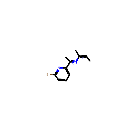 C/C=C(C)\N=C(/C)c1cccc(Br)n1